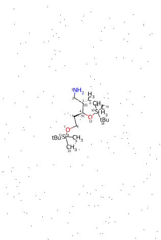 C[C@@H](CN)[C@H](CCO[Si](C)(C)C(C)(C)C)O[Si](C)(C)C(C)(C)C